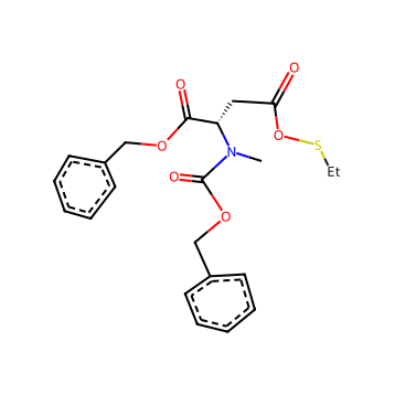 CCSOC(=O)C[C@@H](C(=O)OCc1ccccc1)N(C)C(=O)OCc1ccccc1